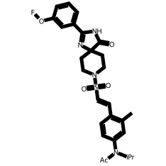 CC(=O)N(c1ccc(/C=C/S(=O)(=O)N2CCC3(CC2)N=C(c2cccc(OF)c2)NC3=O)c(C)c1)C(C)C